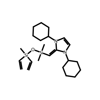 C=C[Si](C)(C=C)O[Si](C)(C)C=C1N(C2CCCCC2)C=CN1C1CCCCC1